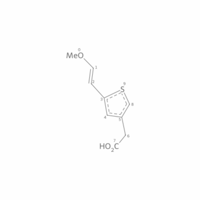 COC=Cc1cc(CC(=O)O)cs1